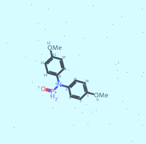 COc1ccc(N([PH2]=O)c2ccc(OC)cc2)cc1